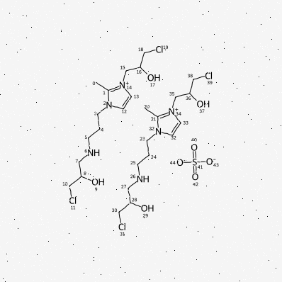 Cc1n(CCCNCC(O)CCl)cc[n+]1CC(O)CCl.Cc1n(CCCNCC(O)CCl)cc[n+]1CC(O)CCl.O=S(=O)([O-])[O-]